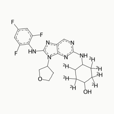 [2H]C1C(Nc2ncc3nc(Nc4c(F)cc(F)cc4F)n(C4CCOC4)c3n2)C([2H])([2H])C([2H])([2H])C(O)C1([2H])[2H]